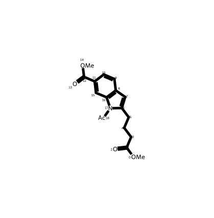 COC(=O)CCCc1cc2ccc(C(=O)OC)cc2n1C(C)=O